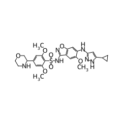 COc1cc2c(NS(=O)(=O)c3c(OC)cc(C4COCCN4)cc3OC)noc2cc1Nc1cc(C2CC2)[nH]n1